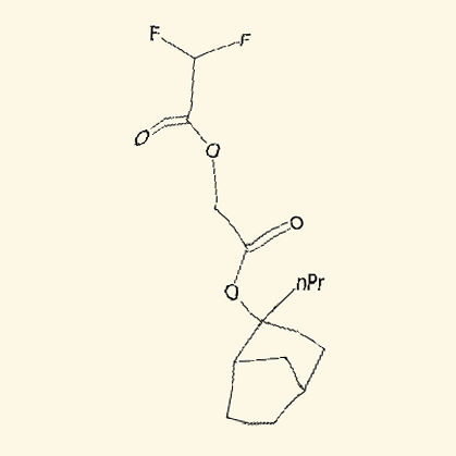 CCCC1(OC(=O)COC(=O)C(F)F)CC2CCC1C2